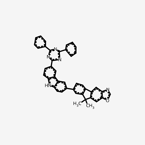 CC1(C)c2cc(-c3ccc4[nH]c5ccc(-c6nc(-c7ccccc7)nc(-c7ccccc7)n6)cc5c4c3)ccc2-c2cc3ncoc3cc21